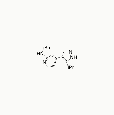 CCC(C)Nc1cc(-c2cn[nH]c2C(C)C)ccn1